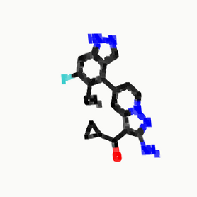 Cc1c(F)cc2[nH]ncc2c1-c1ccn2nc(N)c(C(=O)C3CC3)c2c1